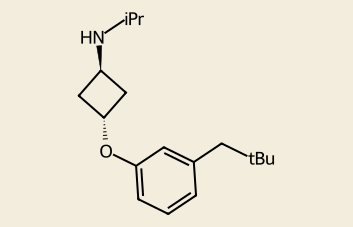 CC(C)N[C@H]1C[C@H](Oc2cccc(CC(C)(C)C)c2)C1